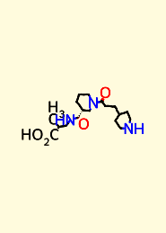 CC(CNC(=O)[C@@H]1CCCN(C(=O)CCC2CCNCC2)C1)C(=O)O